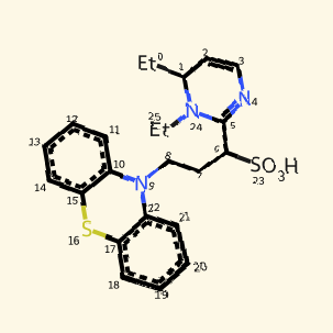 CCC1C=CN=C(C(CCN2c3ccccc3Sc3ccccc32)S(=O)(=O)O)N1CC